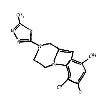 Cc1nnc(N2CCn3c(cc4c(O)cc(Cl)c(Cl)c43)C2)s1